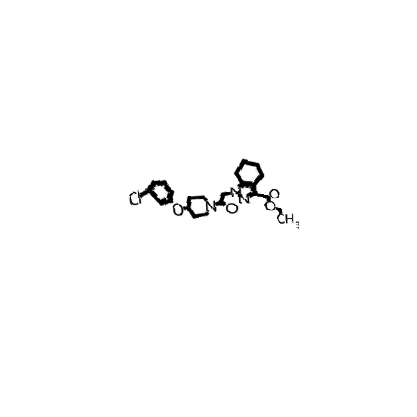 CCOC(=O)c1nn(CC(=O)N2CCC(Oc3cccc(Cl)c3)CC2)c2c1CCCC2